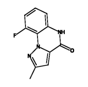 Cc1cc2c(=O)[nH]c3cccc(F)c3n2n1